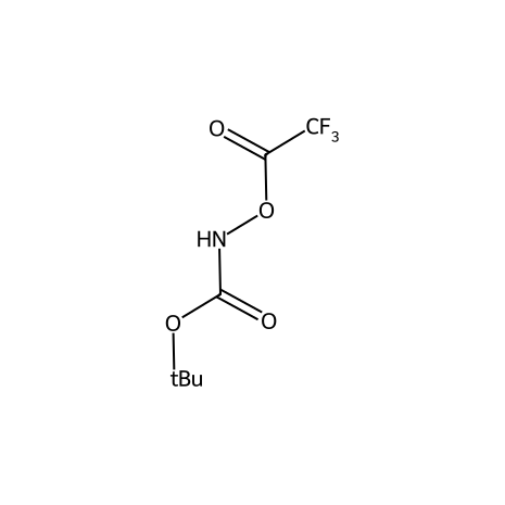 CC(C)(C)OC(=O)NOC(=O)C(F)(F)F